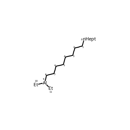 CCCCCCCCCCCCCC[CH2][Al]([CH2]C)[CH2]C